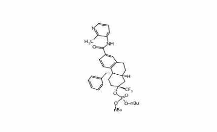 CCCCOP(=O)(OCCCC)O[C@]1(C(F)(F)F)CC[C@@]2(Cc3ccccc3)c3ccc(C(=O)Nc4cccnc4C)cc3CC[C@@H]2C1